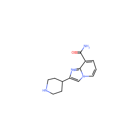 NC(=O)c1cccn2cc(C3CCNCC3)nc12